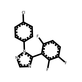 Fc1ccc(F)c(-c2ncnn2-c2ccc(Cl)cc2)c1F